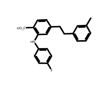 Cc1cccc(CCc2ccc(C(=O)O)c(Nc3ccc(F)cc3)c2)c1